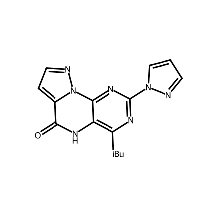 CCC(C)c1nc(-n2cccn2)nc2c1[nH]c(=O)c1ccnn12